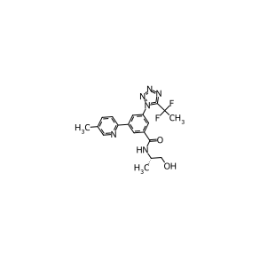 Cc1ccc(-c2cc(C(=O)N[C@@H](C)CO)cc(-n3nnnc3C(C)(F)F)c2)nc1